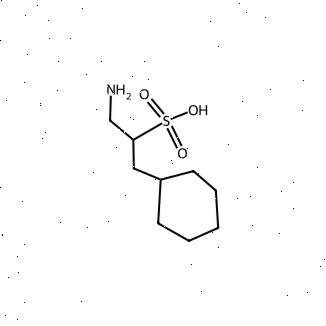 NCC(CC1CCCCC1)S(=O)(=O)O